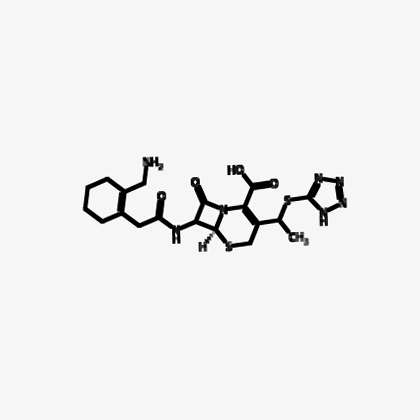 CC(Sc1nnn[nH]1)C1=C(C(=O)O)N2C(=O)C(NC(=O)CC3=C(CN)CCCC3)[C@@H]2SC1